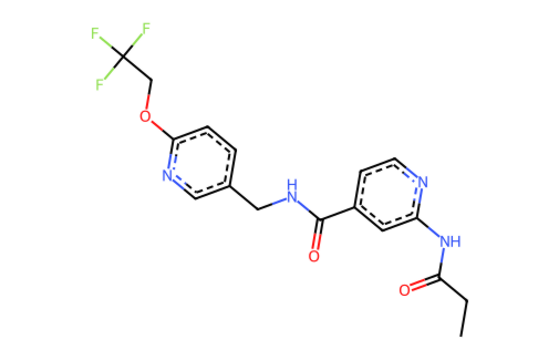 CCC(=O)Nc1cc(C(=O)NCc2ccc(OCC(F)(F)F)nc2)ccn1